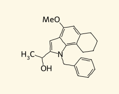 COc1cc2c(c3c1cc(C(C)O)n3Cc1ccccc1)CCCC2